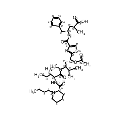 CCCCN1CCCC[C@@H]1C(=O)N[C@H](C(=O)N(C)C(C[C@@H](OC(C)=O)c1nc(C(=O)N[C@@H](Cc2ccccc2)CC(C)C(=O)O)cs1)C(C)C)[C@@H](C)CC